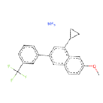 COc1ccc2cc(-c3cccc(C(F)(F)F)c3)cc(C3CC3)c2c1.N